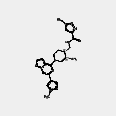 C[C@@H]1CN(c2nc(-c3cnn(C)c3)cn3nccc23)CC[C@@H]1CNC(=O)c1cn(C(C)(C)C)nn1